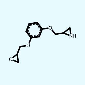 c1cc(OCC2CN2)cc(OCC2CO2)c1